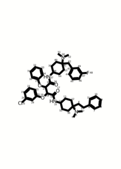 CN(C)C1(CCc2ccccc2)CCC(NC(=O)C(Oc2cccc(Cl)c2)C(Oc2ccccc2)C(=O)NC2CCC(Cc3cccc(F)c3)(N(C)C)CC2)CC1